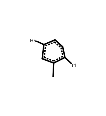 Cc1cc(S)ccc1Cl